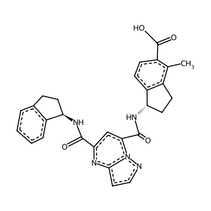 Cc1c(C(=O)O)ccc2c1CC[C@@H]2NC(=O)c1cc(C(=O)N[C@@H]2CCc3ccccc32)nc2ccnn12